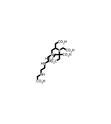 O=C(O)CNCCNCCNCC(CC(=O)O)N(CC(=O)O)C(CC(=O)O)(CC(=O)O)C(=O)O